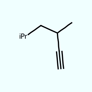 C#CC(C)CC(C)C